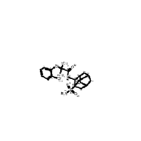 CC(C)(Oc1ccccc1C(F)(F)F)C(=O)NC1C2CC3CC(C2)CC1(S(N)(=O)=O)C3